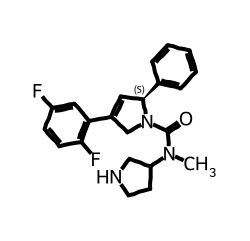 CN(C(=O)N1CC(c2cc(F)ccc2F)=C[C@H]1c1ccccc1)C1CCNC1